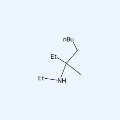 CCCCCC(C)(CC)NCC